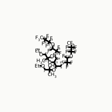 CCOCC(C)(C)OC(CSC(F)(F)C(F)OC(F)(F)C(F)(F)C(F)(F)F)C(CSC(F)(F)C(F)OC(F)(F)C(F)(F)C(F)(F)F)OC(C)(C)COCC